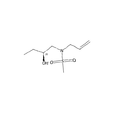 C=CCN(C[C@@H](O)CC)S(C)(=O)=O